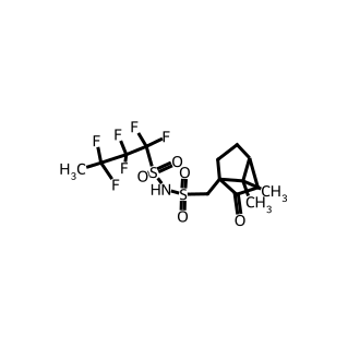 CC(F)(F)C(F)(F)C(F)(F)S(=O)(=O)NS(=O)(=O)CC12CCC(CC1=O)C2(C)C